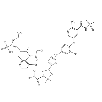 CC1(C)OC(c2ccco2)CN1C(=O)C(Cl)Cl.CCc1cccc(C)c1N(C(=O)CCl)C(C)COC.CS(=O)(=O)NC(=O)c1cc(Oc2ccc(C(F)(F)F)cc2Cl)ccc1[N+](=O)[O-].O=C(O)CNCP(=O)(O)O